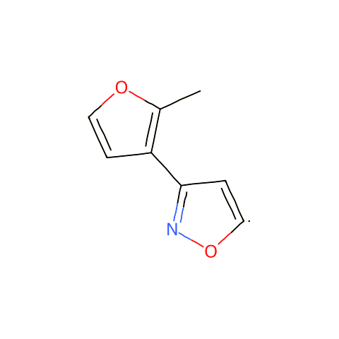 Cc1occc1-c1c[c]on1